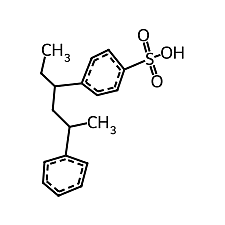 CCC(CC(C)c1ccccc1)c1ccc(S(=O)(=O)O)cc1